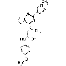 COc1ccc(NC(O)CN(C)c2nc(-c3cn(C)cn3)nc3c2CCC3)nc1